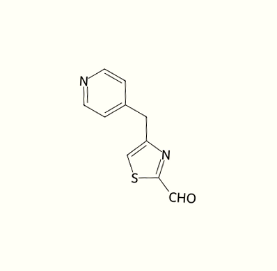 O=Cc1nc(Cc2ccncc2)cs1